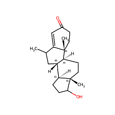 CC1C[C@@H]2[C@H](CC[C@]3(C)C(O)CC[C@@H]23)[C@@]2(C)CCC(=O)C=C12